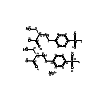 CS(=O)(=O)c1ccc(CN[C@@H](CO)C(=O)[O-])cc1.CS(=O)(=O)c1ccc(CN[C@@H](CO)C(=O)[O-])cc1.[Mg+2]